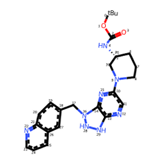 CC(C)(C)OC(=O)N[C@@H]1CCCN(c2cnc3c(n2)N(Cc2ccc4ncccc4c2)NN3)C1